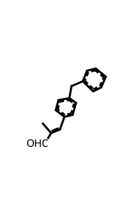 CC(C=O)=Cc1ccc(Cc2ccccc2)cc1